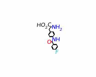 N[C@@H](Cc1ccc(NC(=O)c2ccc(F)cc2)cc1)C(=O)O